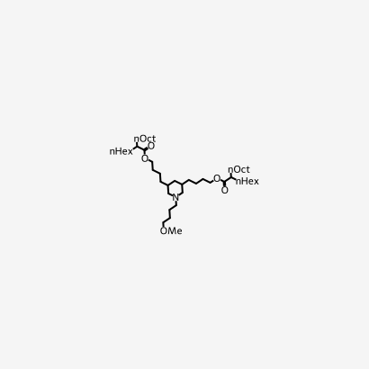 CCCCCCCCC(CCCCCC)C(=O)OCCCCC1CC(CCCCOC(=O)C(CCCCCC)CCCCCCCC)CN(CCCCOC)C1